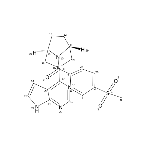 CS(=O)(=O)c1ccc(C(=O)N2[C@@H]3CC[C@@H]2CN(c2ncnc4[nH]ccc24)C3)cc1